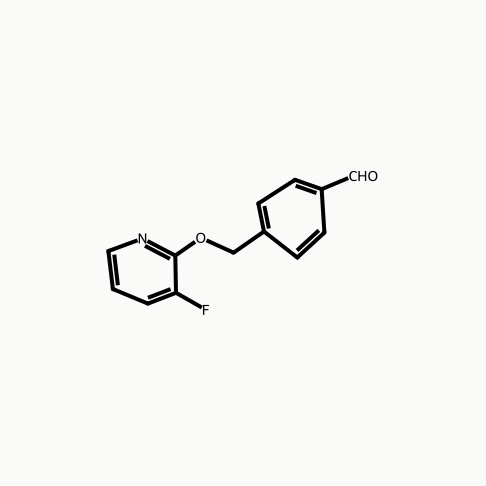 O=Cc1ccc(COc2ncccc2F)cc1